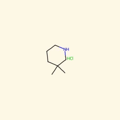 CC1(C)CCCNC1.Cl